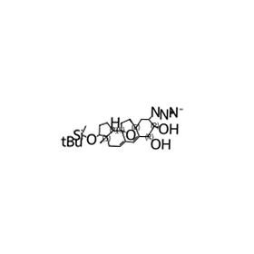 CC(C)(C)[Si](C)(C)OC1CC[C@H]2[C@@]34CC[C@]5(CC(N=[N+]=[N-])[C@@H](O)[C@H](O)C5=CC3=CC[C@]12C)O4